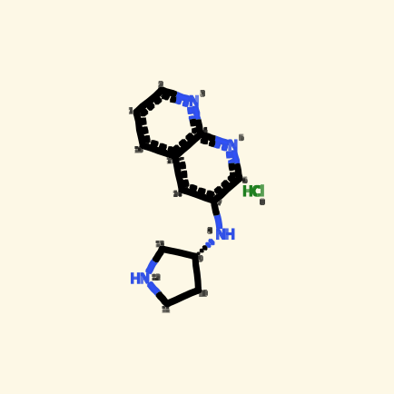 Cl.c1cnc2ncc(N[C@@H]3CCNC3)cc2c1